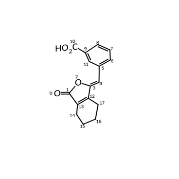 O=C1OC(=Cc2cccc(C(=O)O)c2)C2=C1CCCC2